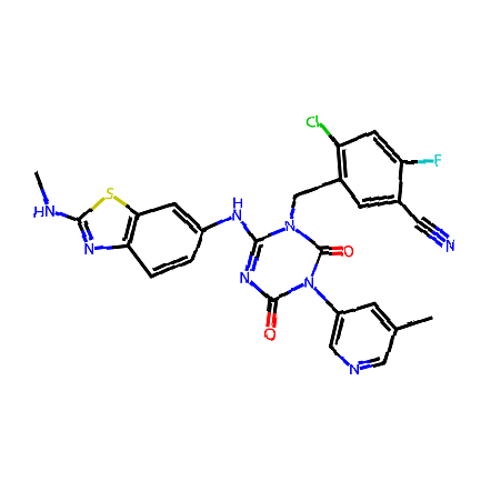 CNc1nc2ccc(Nc3nc(=O)n(-c4cncc(C)c4)c(=O)n3Cc3cc(C#N)c(F)cc3Cl)cc2s1